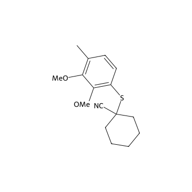 COc1c(C)ccc(SC2(C#N)CCCCC2)c1OC